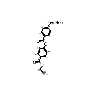 CCCCCCCCCOc1ccc(C(=O)Oc2ccc(C(=O)OCC(C)CC)cc2)cc1